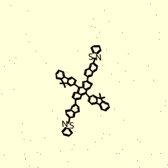 CC1(C)c2ccccc2-c2ccc(-c3c4ccc(-c5ccc6cc(-c7nc8ccccc8s7)ccc6c5)cc4c(-c4ccc5c(c4)C(C)(C)c4ccccc4-5)c4ccc(-c5ccc6cc(-c7nc8ccccc8s7)ccc6c5)cc34)cc21